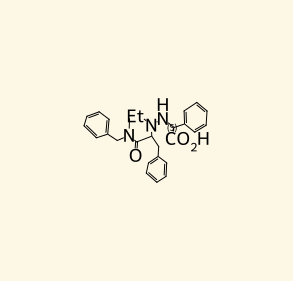 CCN(N[C@H](C(=O)O)c1ccccc1)C(Cc1ccccc1)C(=O)N(C)Cc1ccccc1